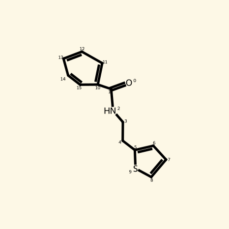 O=C(NCCc1cccs1)c1ccccc1